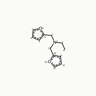 CCN(Cc1ccco1)Cc1ccco1